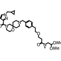 COC(CN(C)C(=O)CCOCCc1ccc(CN2CCC3(CC2)CN(C(=O)c2ccn(CC4CC4)n2)CCO3)cc1)OC